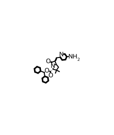 CC1(C)CC2/C(=C\c3ccc(N)cn3)C(=O)N2[C@H]1C(=O)OC(c1ccccc1)c1ccccc1